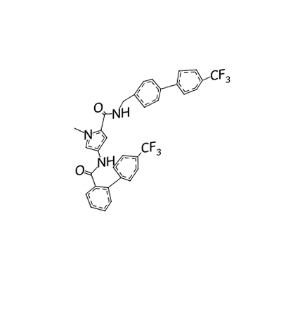 Cn1cc(NC(=O)c2ccccc2-c2ccc(C(F)(F)F)cc2)cc1C(=O)NCc1ccc(-c2ccc(C(F)(F)F)cc2)cc1